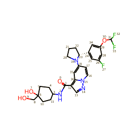 O=C(NC1CCC(O)(CO)CC1)c1cnn2ccc(N3CCC[C@@H]3c3cc(F)cc(OC(F)F)c3)cc12